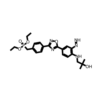 CCOP(=O)(Cc1ccc(-c2noc(-c3ccc(NCC(C)(C)O)c(N=N)c3)n2)cc1)OCC